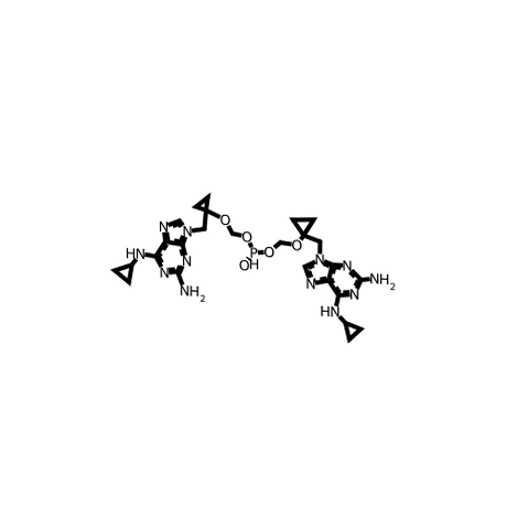 Nc1nc(NC2CC2)c2ncn(CC3(OCO[PH](=O)OCOC4(Cn5cnc6c(NC7CC7)nc(N)nc65)CC4)CC3)c2n1